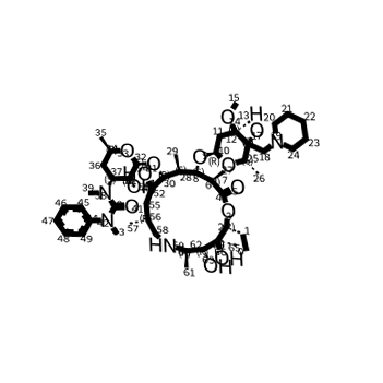 CC[C@H]1OC(=O)[C@H](C)[C@@H](O[C@H]2C[C@@](C)(OC)[C@](O)(CN3CCCCC3)[C@H](C)O2)[C@H](C)[C@@H](O[C@@H]2O[C@H](C)C[C@H](N(C)C(=O)N(C)c3ccccc3)[C@H]2O)[C@](C)(O)C[C@@H](C)CN[C@H](C)[C@@H](O)[C@]1(C)O